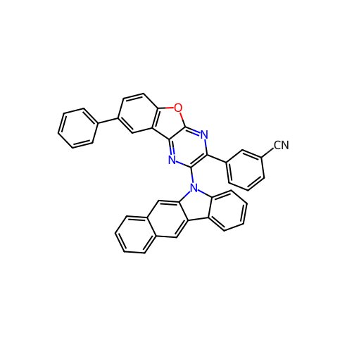 N#Cc1cccc(-c2nc3oc4ccc(-c5ccccc5)cc4c3nc2-n2c3ccccc3c3cc4ccccc4cc32)c1